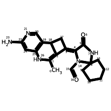 CC1=C2/C(=C3/C(=O)NC4(CCCCC4)N3C=O)CC2c2cnc(N)cc2N1